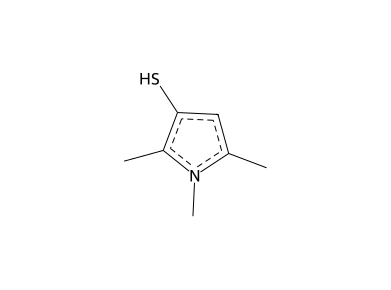 Cc1cc(S)c(C)n1C